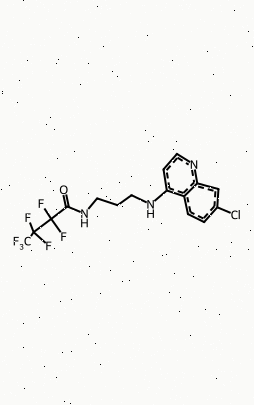 O=C(NCCCNc1ccnc2cc(Cl)ccc12)C(F)(F)C(F)(F)C(F)(F)F